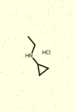 CCNC1CC1.Cl